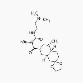 CCCCN(C(=O)NCCN(C)C)C(=O)[C@@H]1C[C@@H]2CC3(CC[C@H]2N(C)C1)OCCO3